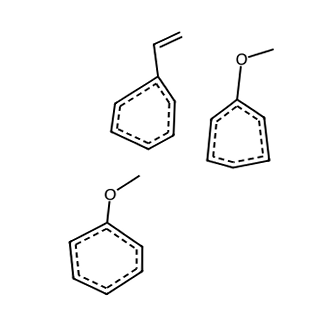 C=Cc1ccccc1.COc1ccccc1.COc1ccccc1